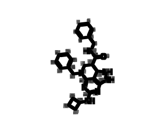 O=C(NCc1ccccc1)C1CN(Cc2ccccc2)c2nc(NC3CCC3)nc3c2C1NN3